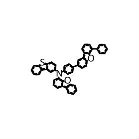 c1ccc(-c2cccc3c2oc2ccc(-c4ccc(N(c5ccc6sc7ccccc7c6c5)c5cccc6c5oc5ccccc56)cc4)cc23)cc1